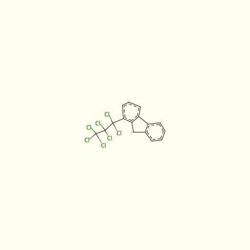 ClC(Cl)(Cl)C(Cl)(Cl)C(Cl)(Cl)c1cccc2c1[CH]c1ccccc1-2